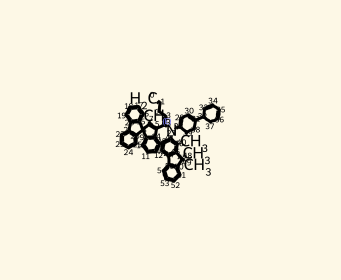 C=CC/C=C(\C1=C(C)C2(c3ccccc31)c1ccccc1-c1ccccc12)N(C1=CC=C(C2C=CC=CC2)CC1C)c1ccc2c(c1)C(C)(C)c1ccccc1-2